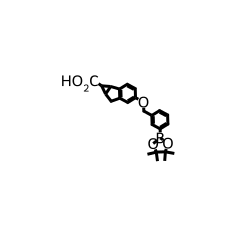 CC1(C)OB(c2cccc(COc3ccc4c(c3)CC3C(C(=O)O)C43)c2)OC1(C)C